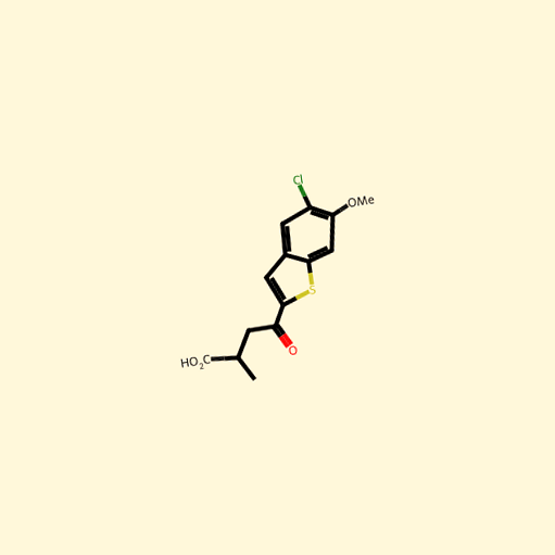 COc1cc2sc(C(=O)CC(C)C(=O)O)cc2cc1Cl